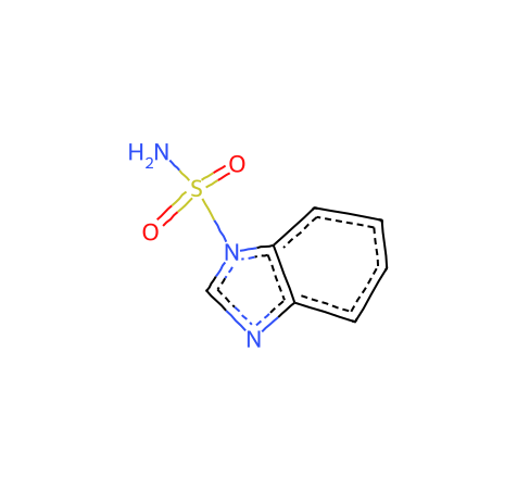 NS(=O)(=O)n1cnc2ccccc21